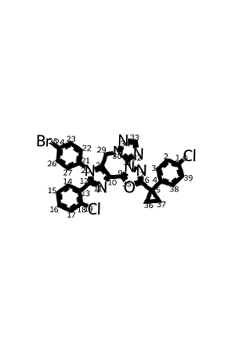 Clc1ccc(C2(c3nnc(-c4nc(-c5ccccc5Cl)n(-c5ccc(Br)cc5)c4Cn4cncn4)o3)CC2)cc1